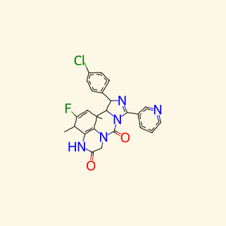 CC1C(F)=CC2(C)C3=C1NC(=O)CN3C(=O)N1C(c3cccnc3)=NC(c3ccc(Cl)cc3)C12